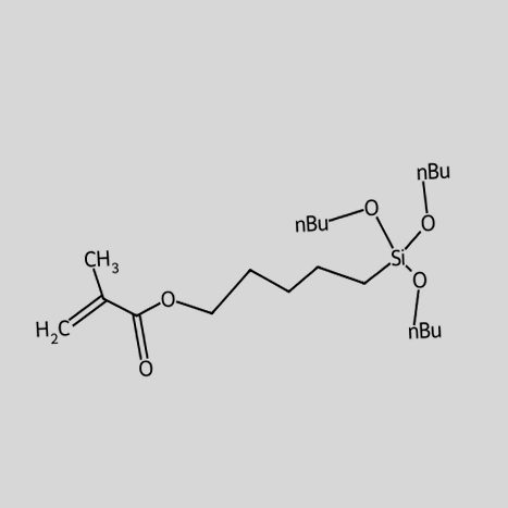 C=C(C)C(=O)OCCCCC[Si](OCCCC)(OCCCC)OCCCC